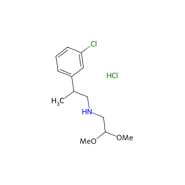 COC(CNCC(C)c1cccc(Cl)c1)OC.Cl